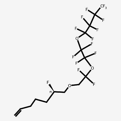 C=CCCC[C@@H](F)COCC(F)(F)OC(F)(F)C(F)(F)OC(F)(F)C(F)(F)C(F)(F)C(F)(F)F